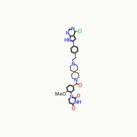 COc1ccc(C(=O)N2CCC3(CCN(CCc4ccc(-c5cc6c(Cl)ncnc6[nH]5)cc4)CC3)CC2)cc1-n1ccc(=O)[nH]c1=O